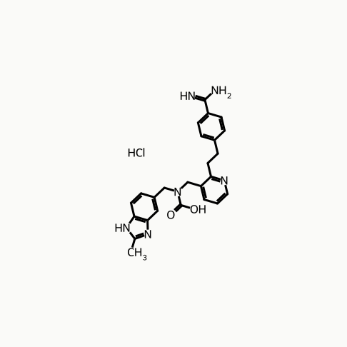 Cc1nc2cc(CN(Cc3cccnc3CCc3ccc(C(=N)N)cc3)C(=O)O)ccc2[nH]1.Cl